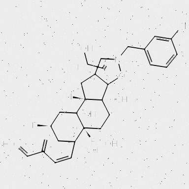 C=CC(=O)/C=C\[C@@]1(C)C[C@@H](F)C[C@H]2[C@@H]3C[C@H]4CN(Cc5cccc(Cl)c5)O[C@@]4(C(=O)CO)[C@@]3(C)C[C@H](O)[C@@]21F